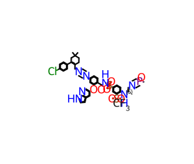 C[C@@H](CN1CCP(C)(=O)CC1)Nc1ccc(S(=O)(=O)NC(=O)c2ccc(N3CCN(CC4=C(c5ccc(Cl)cc5)CC(C)(C)CC4)CC3)cc2Oc2cnc3[nH]ccc3c2)cc1S(=O)(=O)C(F)(F)F